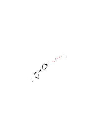 CCCCOCCOc1ccc(C#Cc2ccc(C#N)cc2)cc1